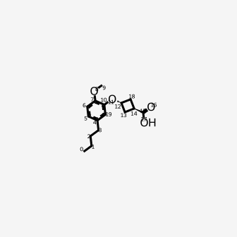 CCCCc1ccc(OC)c(O[C@H]2C[C@H](C(=O)O)C2)c1